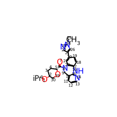 CC(C)O[C@H]1CC[C@H](C(=O)N2Cc3cccnc3Nc3ccc(-c4cnn(C)c4)cc32)OC1